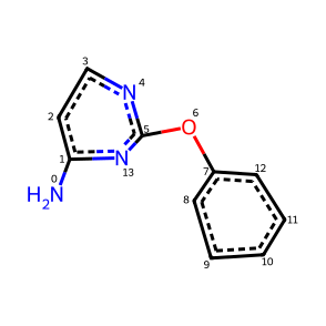 Nc1ccnc(Oc2ccccc2)n1